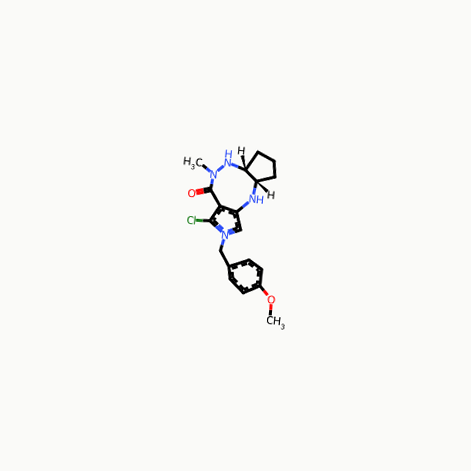 COc1ccc(Cn2cc3c(c2Cl)C(=O)N(C)N[C@@H]2CCC[C@@H]2N3)cc1